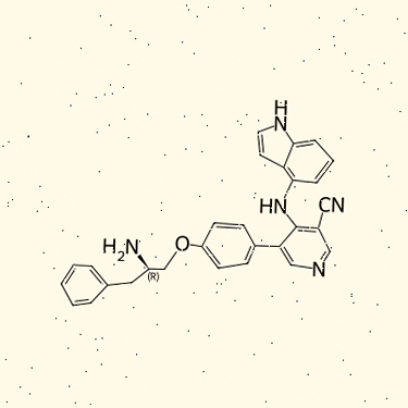 N#Cc1cncc(-c2ccc(OC[C@H](N)Cc3ccccc3)cc2)c1Nc1cccc2[nH]ccc12